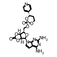 Nc1nc(N)c2ccn([C@@H]3O[C@H](COP4(=O)OCC[C@@H](c5ccncc5)O4)[C@H]4OC(=O)O[C@H]43)c2n1